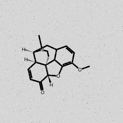 COC1=C2O[C@@H]3C(=O)C=C[C@H]4[C@H]5CC(C=C1)C2[C@@]34CCN5C